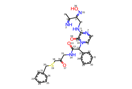 CC(=N)/C(CNc1nccn(C(C(=O)NCC(=O)CSCc2ccccc2)c2ccccc2)c1=O)=N\O